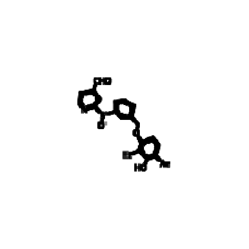 CCc1c(OCc2cccc([S+]([O-])c3cc(C=O)ccn3)c2)ccc(C(C)=O)c1O